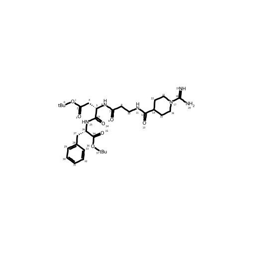 CC(C)(C)OC(=O)C[C@H](NC(=O)CCNC(=O)C1CCN(C(=N)N)CC1)C(=O)N[C@@H](Cc1ccccc1)C(=O)OC(C)(C)C